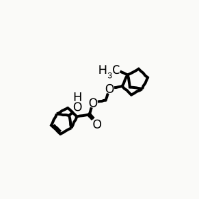 CC12CCC(CC1OCOC(=O)C1CC3C=CC1C3O)C2